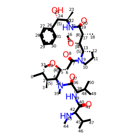 CC[C@H](C)C([C@@H](CC(=O)N1CCC[C@H]1[C@H](OC)[C@@H](C)C(=O)N[C@H](C)[C@@H](O)c1ccccc1)OC)N(C)C(=O)[C@@H](NC(=O)C(NC)C(C)C)C(C)C